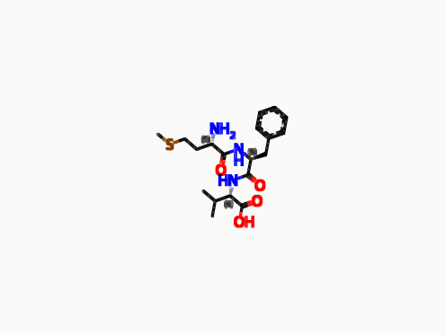 CSCC[C@H](N)C(=O)N[C@@H](Cc1ccccc1)C(=O)N[C@H](C(=O)O)C(C)C